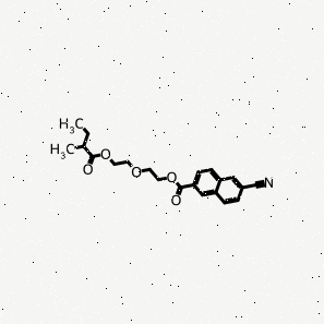 CCC(C)C(=O)OCCOCCOC(=O)c1ccc2cc(C#N)ccc2c1